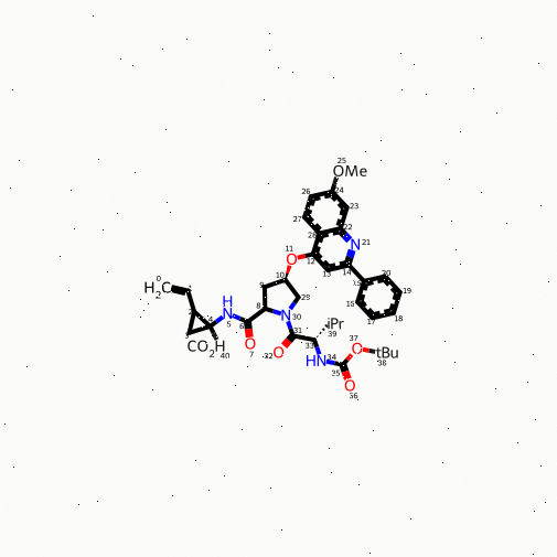 C=CC1CC1(NC(=O)C1C[C@@H](Oc2cc(-c3ccccc3)nc3cc(OC)ccc23)CN1C(=O)[C@@H](NC(=O)OC(C)(C)C)C(C)C)C(=O)O